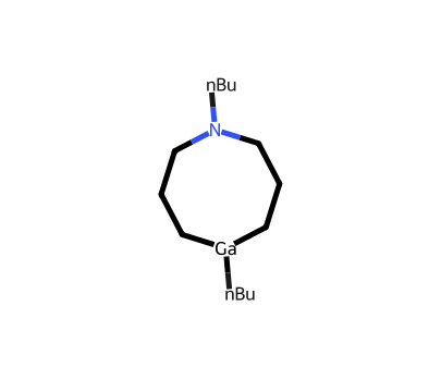 CCCCN1CC[CH2][Ga]([CH2]CCC)[CH2]CC1